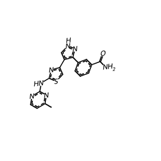 Cc1ccnc(Nc2nc(-c3c[nH]nc3-c3cccc(C(N)=O)c3)cs2)n1